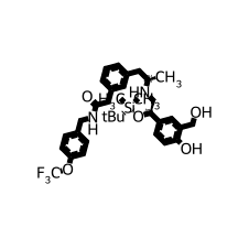 C[C@H](Cc1cccc(CC(=O)NCc2ccc(OC(F)(F)F)cc2)c1)NC[C@H](O[Si](C)(C)C(C)(C)C)c1ccc(O)c(CO)c1